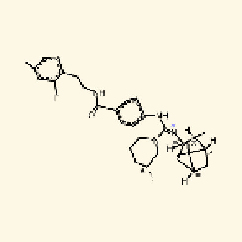 Cc1ccc(CCNC(=O)c2ccc(N/C(=N/[C@H]3C[C@H]4C[C@@H]([C@@H]3C)C4(C)C)N3CCC[C@@H](C)C3)cc2)c(F)c1